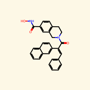 O=C(NO)c1ccc2c(c1)CN(C(=O)/C(=C/c1ccccc1)c1ccc3ccccc3c1)CC2